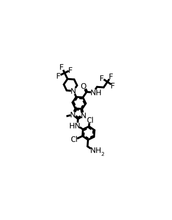 Cn1c(Nc2c(Cl)ccc(CN)c2Cl)nc2cc(C(=O)NCCC(F)(F)F)c(N3CCC(C(F)(F)F)CC3)cc21